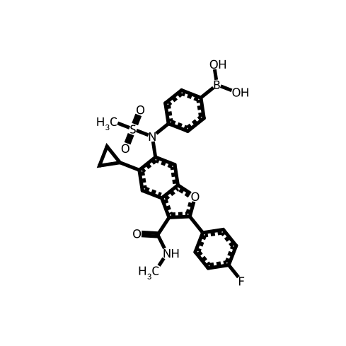 CNC(=O)c1c(-c2ccc(F)cc2)oc2cc(N(c3ccc(B(O)O)cc3)S(C)(=O)=O)c(C3CC3)cc12